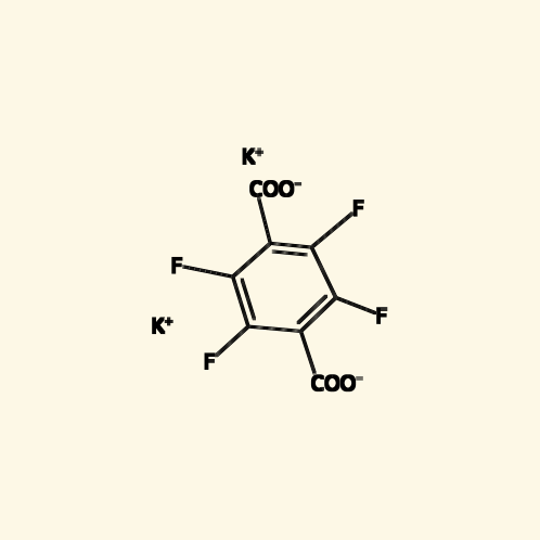 O=C([O-])c1c(F)c(F)c(C(=O)[O-])c(F)c1F.[K+].[K+]